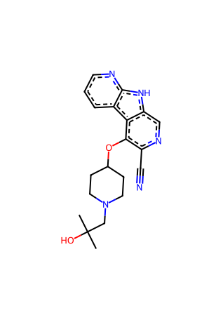 CC(C)(O)CN1CCC(Oc2c(C#N)ncc3[nH]c4ncccc4c23)CC1